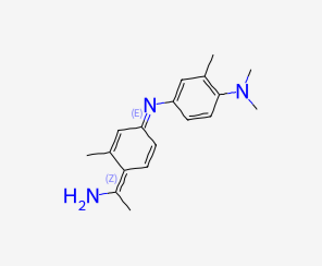 CC1=CC(=N/c2ccc(N(C)C)c(C)c2)/C=CC/1=C(\C)N